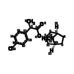 CC(C(=O)O[C@@H]1C[C@H]2CC[C@@H](C1)N2C)c1ccc(Cl)cc1